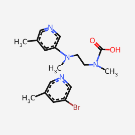 Cc1cncc(Br)c1.Cc1cncc(N(C)CCN(C)C(=O)O)c1